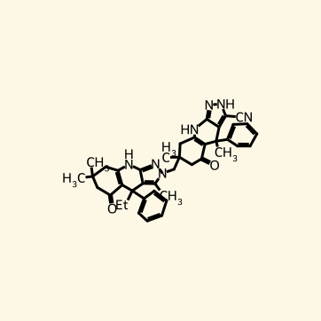 CCC1(c2ccccc2)C2=C(CC(C)(C)CC2=O)Nc2nn(CC3(C)CC(=O)C4=C(C3)Nc3n[nH]c(C#N)c3C4(C)c3ccccc3)c(C)c21